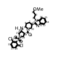 COCCCn1c([C@@H]2CCCN(C(=O)[C@@H]3CN(S(=O)(=O)c4c(Cl)cccc4Cl)C[C@H]3N)C2)nc2ccccc21